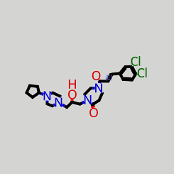 O=C(/C=C/c1ccc(Cl)c(Cl)c1)N1CCC(=O)N(CC(O)CN2CCN(C3CCCC3)CC2)CC1